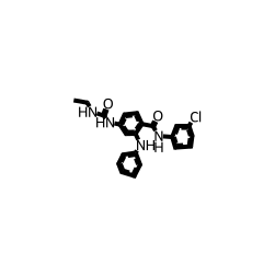 CCNC(=O)Nc1ccc(C(=O)Nc2cccc(Cl)c2)c(Nc2ccccc2)c1